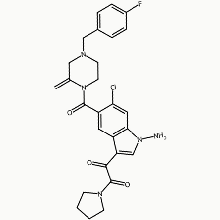 C=C1CN(Cc2ccc(F)cc2)CCN1C(=O)c1cc2c(C(=O)C(=O)N3CCCC3)cn(N)c2cc1Cl